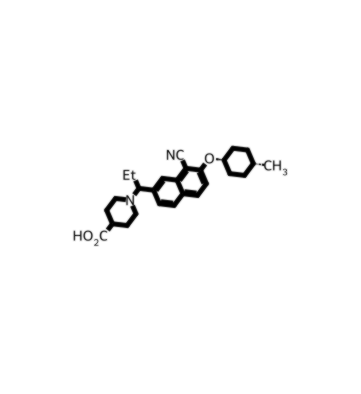 CCC(c1ccc2ccc(O[C@H]3CC[C@@H](C)CC3)c(C#N)c2c1)N1CCC(C(=O)O)CC1